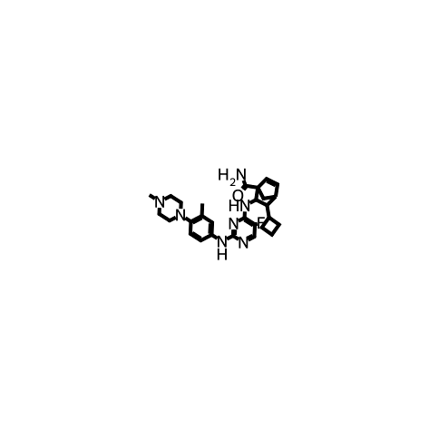 Cc1cc(Nc2ncc(F)c(NC3C(C4CCC4)C4C=CC3(C(N)=O)C4)n2)ccc1N1CCN(C)CC1